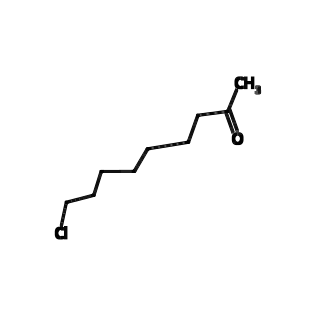 CC(=O)CCCCCCCCl